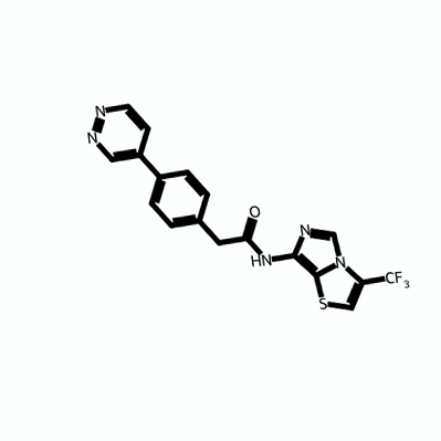 O=C(Cc1ccc(-c2ccnnc2)cc1)Nc1ncn2c(C(F)(F)F)csc12